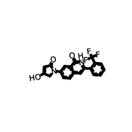 O=C1C=C(O)CN1c1ccc2cc(-c3ccccc3C(F)(F)F)[nH]c(=O)c2c1